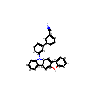 N#CC1=CC=CC(C2=CCCC(N3c4ccccc4C4C=c5oc6ccccc6c5=CC43)=C2)C1